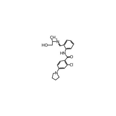 C[C@H](CO)N=Cc1ccccc1NC(=O)c1ccc(N2CCCC2)cc1Cl